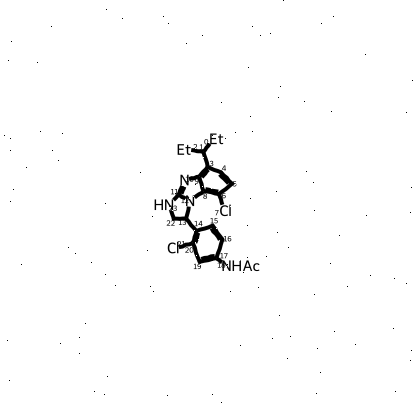 CCC(CC)c1ccc(Cl)c2c1nc1n2C(c2ccc(NC(C)=O)cc2Cl)CN1